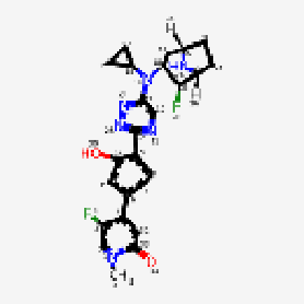 Cn1cc(F)c(-c2ccc(-c3ncc(N(C4CC4)[C@H]4C[C@@H]5CC[C@@H](N5)[C@H]4F)nn3)c(O)c2)cc1=O